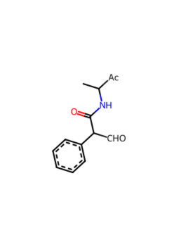 CC(=O)C(C)NC(=O)C(C=O)c1ccccc1